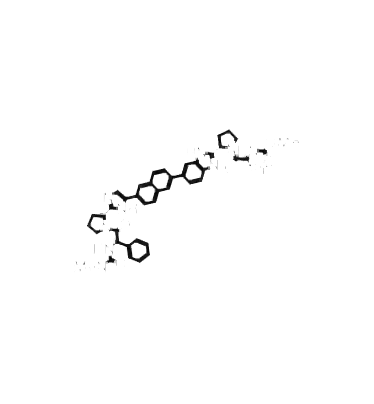 CNC(=O)N[C@@H](C(=O)N1CCC[C@H]1c1ncc(-c2ccc3cc(-c4ccc5nc([C@@H]6CCCN6C(=O)[C@@H](NC(=O)OC)C(C)C)[nH]c5c4)ccc3c2)[nH]1)c1ccccc1